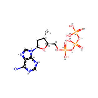 C[C@H]1C[C@H](n2cnc3c(N)ncnc32)O[C@@H]1COP(=O)(O)OP(=O)(O)OP(=O)(O)O